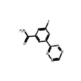 NC(=O)c1cc(F)cc(-c2nncnn2)c1